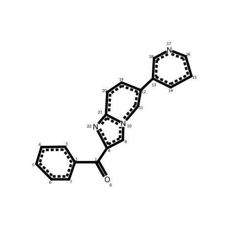 O=C(c1ccccc1)c1cn2cc(-c3cccnc3)ccc2n1